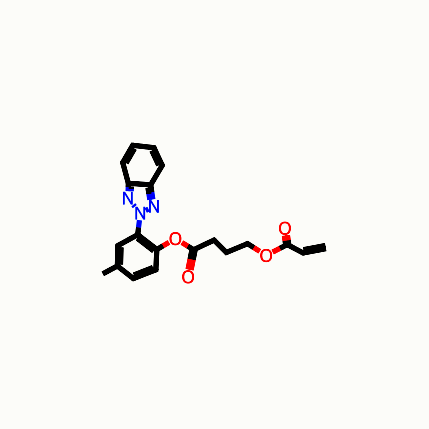 C=CC(=O)OCCCC(=O)Oc1ccc(C)cc1-n1nc2ccccc2n1